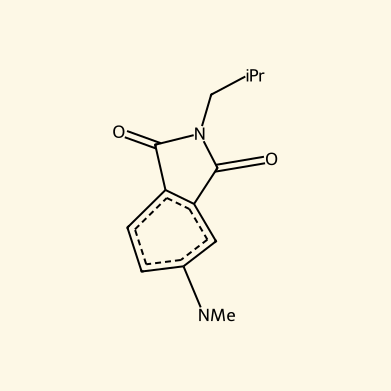 CNc1ccc2c(c1)C(=O)N(CC(C)C)C2=O